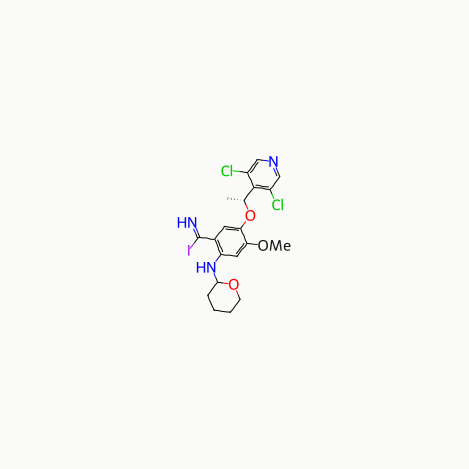 COc1cc(NC2CCCCO2)c(C(=N)I)cc1O[C@H](C)c1c(Cl)cncc1Cl